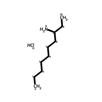 CCCCCCCC(N)CC.Cl